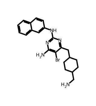 NCC1CCC(Cc2nc(Nc3ccc4ccccc4c3)nc(N)c2Br)CC1